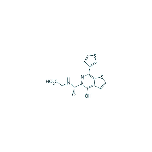 O=C(O)CNC(=O)c1nc(-c2ccsc2)c2sccc2c1O